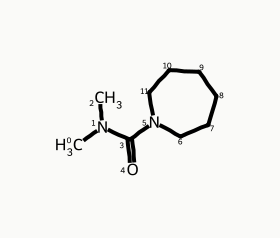 CN(C)C(=O)N1CCCCCC1